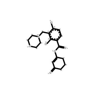 O=C1C=C(OC(=O)c2ccc(Cl)c(CN3CCOCC3)c2Cl)CCC1